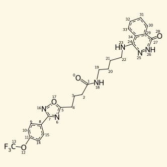 O=C(CCCc1nc(-c2ccc(OC(F)(F)F)cc2)no1)NCCCCNc1n[nH]c(=O)c2ccccc12